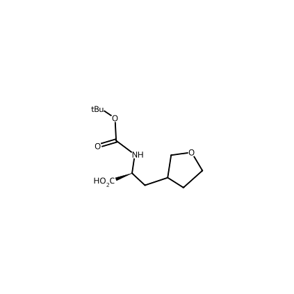 CC(C)(C)OC(=O)N[C@@H](CC1CCOC1)C(=O)O